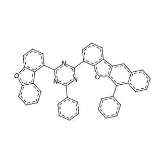 c1ccc(-c2nc(-c3cccc4c3oc3c(-c5ccccc5)c5ccccc5cc34)nc(-c3cccc4oc5ccccc5c34)n2)cc1